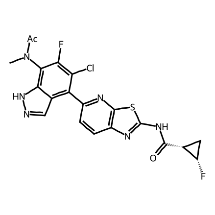 CC(=O)N(C)c1c(F)c(Cl)c(-c2ccc3nc(NC(=O)[C@@H]4C[C@@H]4F)sc3n2)c2cn[nH]c12